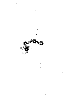 COc1cc(C)c(S(=O)(=O)N2CCCC2COCC(=O)N2CCC(CCN3CCCCC3)CC2)c(C)c1